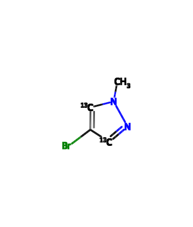 Cn1[13cH]c(Br)[13cH]n1